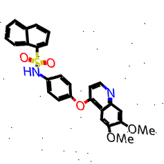 COc1cc2nccc(Oc3ccc(NS(=O)(=O)c4cccc5ccccc45)cc3)c2cc1OC